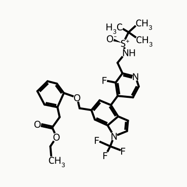 CCOC(=O)Cc1ccccc1OCc1cc(-c2ccnc(CN[S@@+]([O-])C(C)(C)C)c2F)c2ccn(C(F)(F)F)c2c1